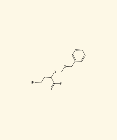 CC(C)CCC(OCOCc1ccccc1)C(=O)F